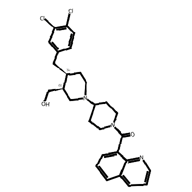 O=C(c1cccc2cccnc12)N1CCC(N2CC[C@H](Cc3ccc(Cl)c(Cl)c3)[C@H](CO)C2)CC1